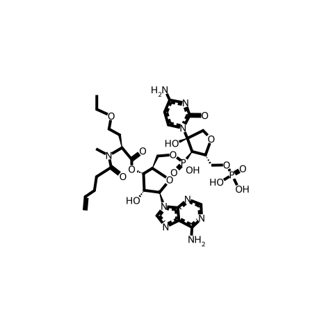 C=CCCC(=O)N(C)[C@@H](CCOCC)C(=O)O[C@H]1[C@@H](O)[C@H](n2cnc3c(N)ncnc32)O[C@@H]1COP(=O)(O)[C@@H]1[C@@H](COP(=O)(O)O)OC[C@@]1(O)n1ccc(N)nc1=O